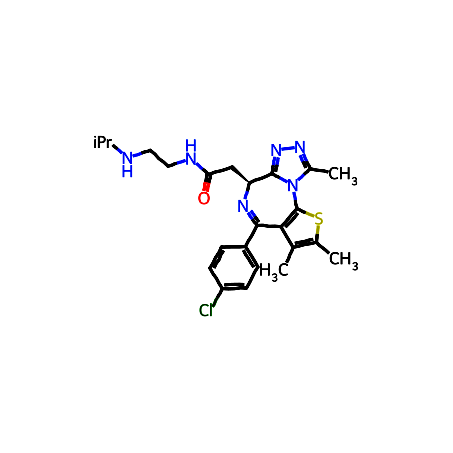 Cc1sc2c(c1C)C(c1ccc(Cl)cc1)=N[C@@H](CC(=O)NCCNC(C)C)c1nnc(C)n1-2